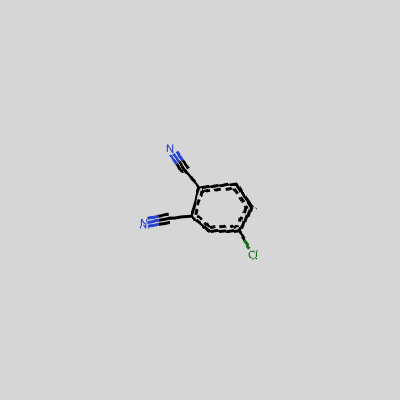 N#Cc1c[c]c(Cl)cc1C#N